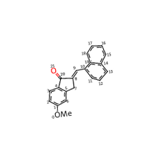 COc1ccc2c(c1)CC(=Cc1cccc3ccccc13)C2=O